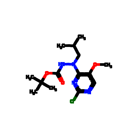 COc1cnc(Cl)nc1N(CC(C)C)NC(=O)OC(C)(C)C